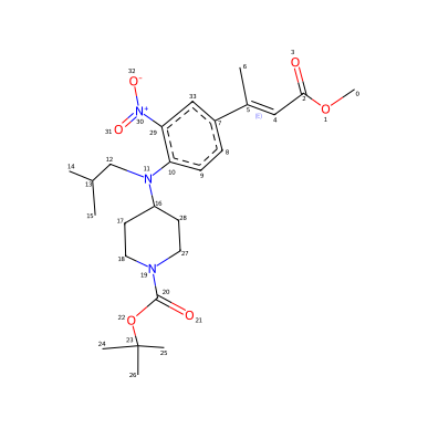 COC(=O)/C=C(\C)c1ccc(N(CC(C)C)C2CCN(C(=O)OC(C)(C)C)CC2)c([N+](=O)[O-])c1